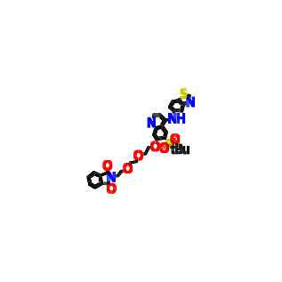 CC(C)(C)S(=O)(=O)c1cc2c(Nc3ccc4scnc4c3)ccnc2cc1OCCOCCOCCN1C(=O)c2ccccc2C1=O